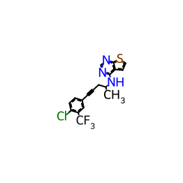 CC(CC#Cc1ccc(Cl)c(C(F)(F)F)c1)Nc1ncnc2sccc12